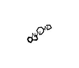 c1ccc2nc(N3CCCC(N4CCCC4)CC3)ccc2c1